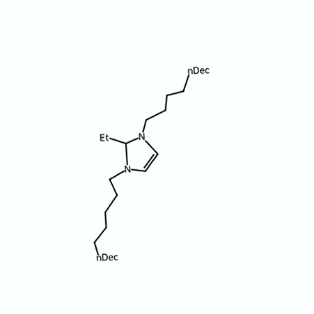 CCCCCCCCCCCCCCCN1C=CN(CCCCCCCCCCCCCC)C1CC